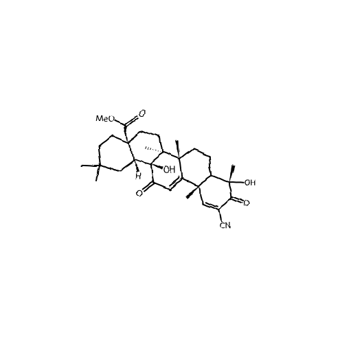 COC(=O)[C@]12CCC(C)(C)C[C@H]1[C@@]1(O)C(=O)C=C3[C@@]4(C)C=C(C#N)C(=O)[C@@](C)(O)C4CC[C@@]3(C)[C@]1(C)CC2